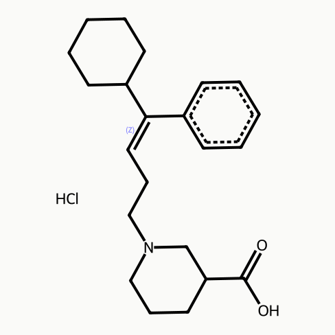 Cl.O=C(O)C1CCCN(CC/C=C(\c2ccccc2)C2CCCCC2)C1